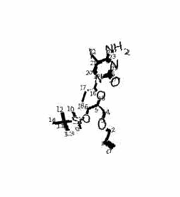 C=CCOC[C@@H](CO[Si](C)(C)C(C)(C)C)O[C@H](CC)n1cc(I)c(N)nc1=O